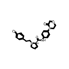 O=C(Nc1ccc(N2CCOCC2=O)cc1)[C@H]1CCCN1CCc1ccc(Cl)cc1